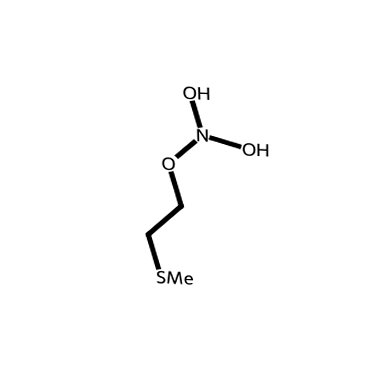 CSCCON(O)O